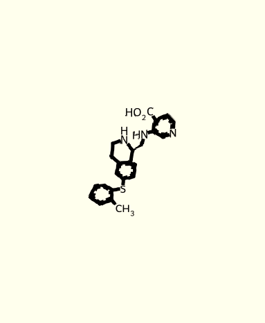 Cc1ccccc1Sc1ccc2c(c1)CCN[C@H]2CNc1cnccc1C(=O)O